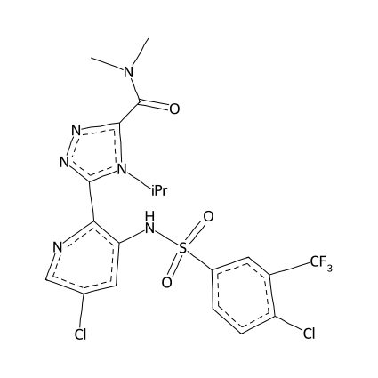 CC(C)n1c(C(=O)N(C)C)nnc1-c1ncc(Cl)cc1NS(=O)(=O)c1ccc(Cl)c(C(F)(F)F)c1